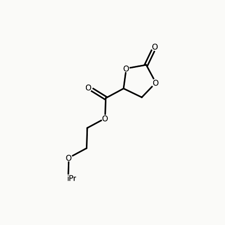 CC(C)OCCOC(=O)C1COC(=O)O1